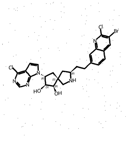 O[C@H]1[C@H](n2ccc3c(Cl)ncnc32)C[C@@]2(CN[C@H](CCc3ccc4cc(Br)c(Cl)nc4c3)C2)[C@H]1O